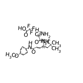 COc1ccc(NC(=O)C=C[C@H](CC(C)(C)C)NC(=O)[C@H](C)N)cc1.O=C(O)C(F)(F)F